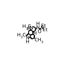 CCN(CC)C(=O)N[C@H]1C[C@@H]2c3cc(C)cc4[nH]c(C)c(c34)C[C@H]2N(C)C1